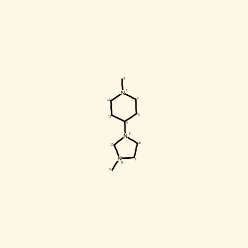 CN1CCC(N2CCN(C)C2)CC1